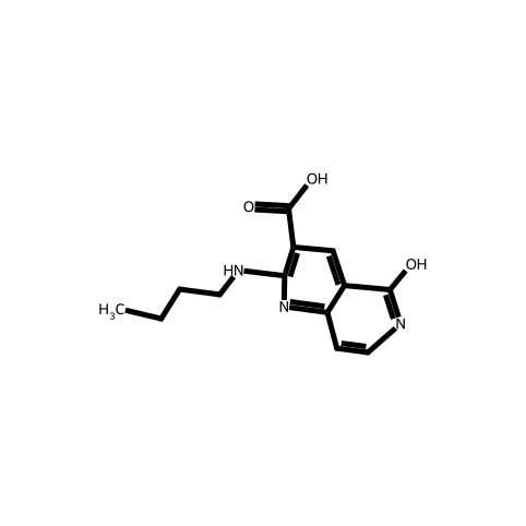 CCCCNc1nc2ccnc(O)c2cc1C(=O)O